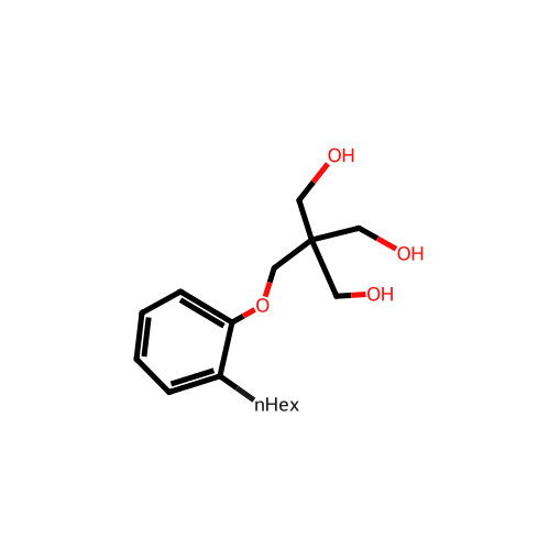 CCCCCCc1ccccc1OCC(CO)(CO)CO